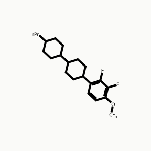 CCCC1CCC(C2CCC(c3ccc(OC(F)(F)F)c(F)c3F)CC2)CC1